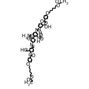 C=CC(=O)OCCCCCCOc1ccc(C(=O)Oc2ccc(N=Nc3ccc(-c4ccc(N=Nc5ccc(OC(=O)c6ccc(OCCCCCCOC(=O)C=C)cc6)c(CO)c5)cc4S(N)(=O)=O)c(N[SH](=O)=O)c3)cc2CO)cc1